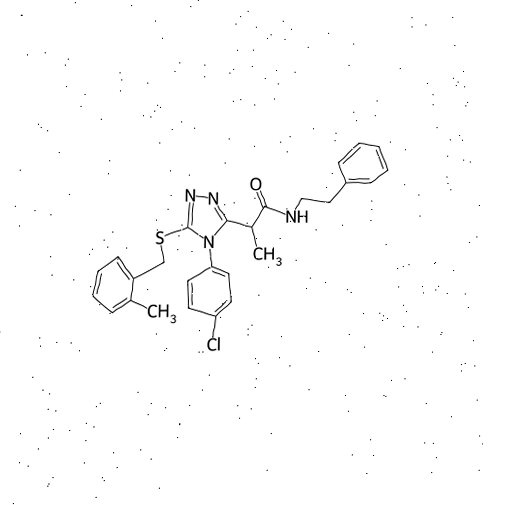 Cc1ccccc1CSc1nnc(C(C)C(=O)NCCc2ccccc2)n1-c1ccc(Cl)cc1